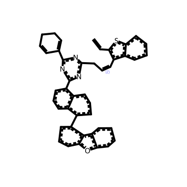 C=Cc1sc2ccccc2c1/C=C\Cc1nc(C2=CCCC=C2)nc(-c2cccc3c(-c4cccc5oc6ccccc6c45)cccc23)n1